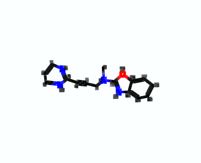 CN(CC#Cc1ncccn1)c1nc2ccccc2o1